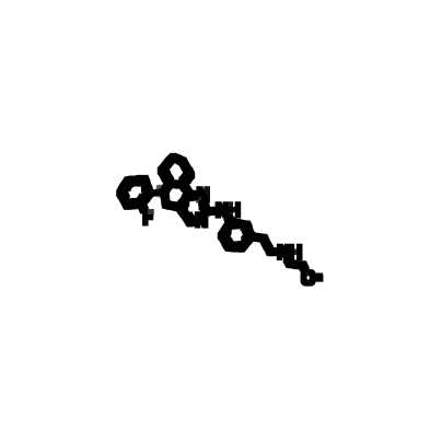 COCCNCCc1cccc(Nc2ncc3c(n2)C2=CCCC=C2[C@H](c2ccccc2F)C3)c1